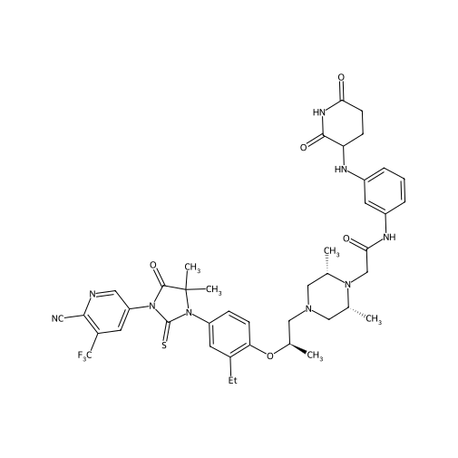 CCc1cc(N2C(=S)N(c3cnc(C#N)c(C(F)(F)F)c3)C(=O)C2(C)C)ccc1O[C@H](C)CN1C[C@@H](C)N(CC(=O)Nc2cccc(NC3CCC(=O)NC3=O)c2)[C@@H](C)C1